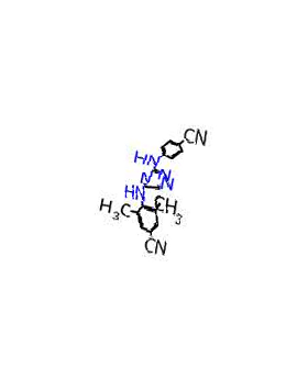 Cc1cc(C#N)cc(C)c1Nc1cnnc(Nc2ccc(C#N)cc2)n1